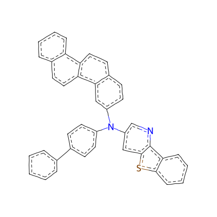 c1ccc(-c2ccc(N(c3cnc4c(c3)sc3ccccc34)c3ccc4ccc5c6ccccc6ccc5c4c3)cc2)cc1